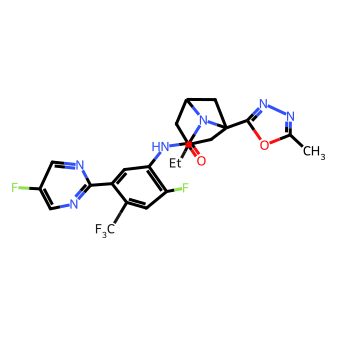 CCC1CC2CC(c3nnc(C)o3)(C1)N2C(=O)Nc1cc(-c2ncc(F)cn2)c(C(F)(F)F)cc1F